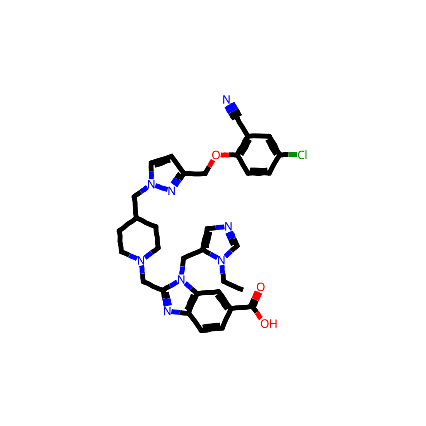 CCn1cncc1Cn1c(CN2CCC(Cn3ccc(COc4ccc(Cl)cc4C#N)n3)CC2)nc2ccc(C(=O)O)cc21